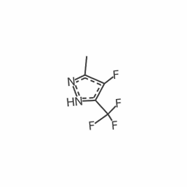 Cc1n[nH]c(C(F)(F)F)c1F